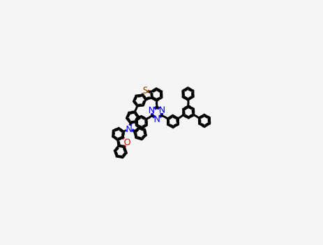 c1ccc(-c2cc(-c3ccccc3)cc(-c3cccc(-c4nc(-c5ccccc5)nc(-c5cccc6sc7ccc(-c8ccc9c(c8)c8ccccc8n9-c8cccc9c8oc8ccccc89)cc7c56)n4)c3)c2)cc1